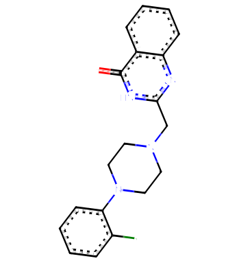 O=c1[nH]c(CN2CCN(c3ccccc3Cl)CC2)nc2ccccc12